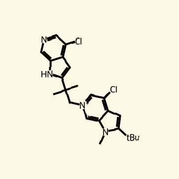 Cn1c(C(C)(C)C)cc2c(Cl)c[n+](CC(C)(C)c3cc4c(Cl)cncc4[nH]3)cc21